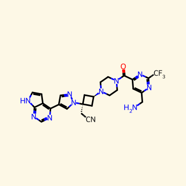 N#CC[C@]1(n2cc(-c3ncnc4[nH]ccc34)cn2)C[C@@H](N2CCN(C(=O)c3cc(CN)nc(C(F)(F)F)n3)CC2)C1